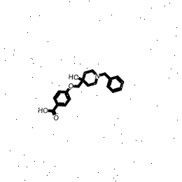 O=C(O)c1ccc(OCC2(O)CCN(Cc3ccccc3)CC2)cc1